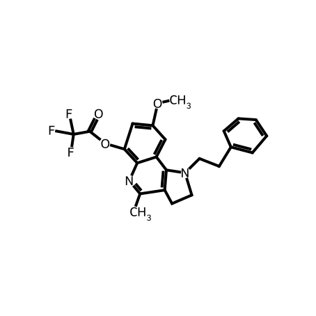 COc1cc(OC(=O)C(F)(F)F)c2nc(C)c3c(c2c1)N(CCc1ccccc1)CC3